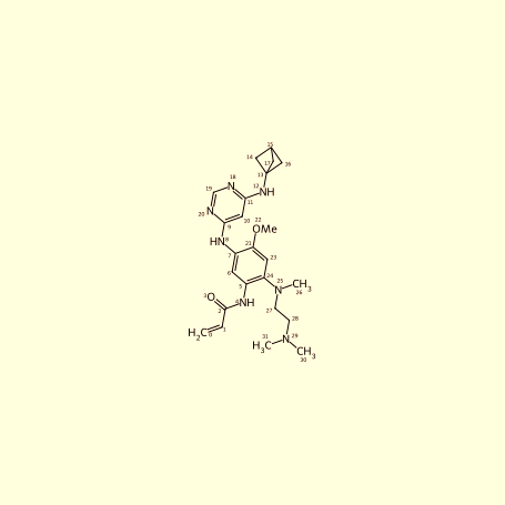 C=CC(=O)Nc1cc(Nc2cc(NC34CC(C3)C4)ncn2)c(OC)cc1N(C)CCN(C)C